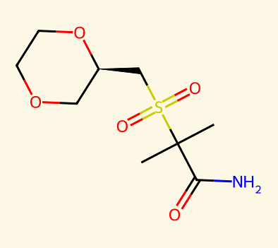 CC(C)(C(N)=O)S(=O)(=O)C[C@H]1COCCO1